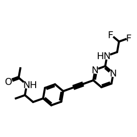 CC(=O)NC(C)Cc1ccc(C#Cc2ccnc(NCC(F)F)n2)cc1